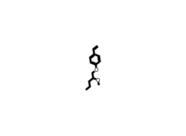 C=Cc1ccc(OCC(CCC)OC)cc1